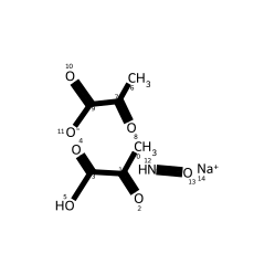 CC(=O)C(=O)O.CC(=O)C(=O)[O-].N=O.[Na+]